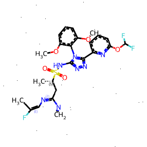 C=N/C(C[C@H](C)S(=O)(=O)Nc1nnc(-c2cccc(OC(F)F)n2)n1-c1c(OC)cccc1OC)=N\C=C(/C)F